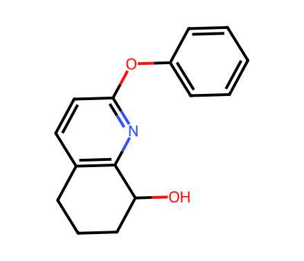 OC1CCCc2ccc(Oc3ccccc3)nc21